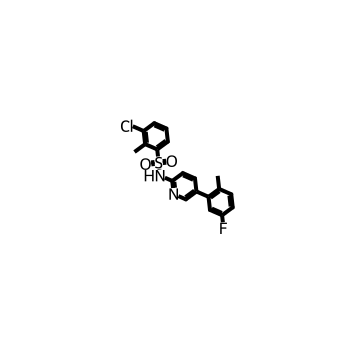 Cc1ccc(F)cc1-c1ccc(NS(=O)(=O)c2cccc(Cl)c2C)nc1